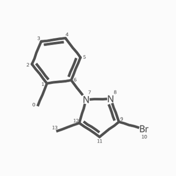 Cc1ccccc1-n1nc(Br)cc1C